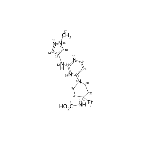 CCC1(NC(=O)O)CCN(c2ccnc(Nc3cnn(C)c3)n2)CC1